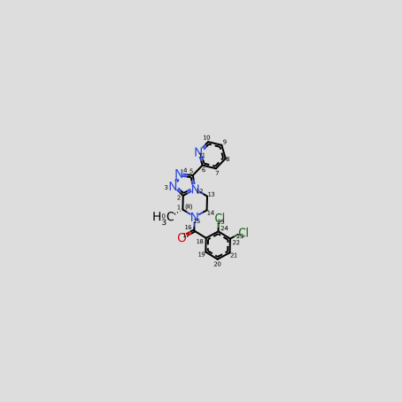 C[C@@H]1c2nnc(-c3ccccn3)n2CCN1C(=O)c1cccc(Cl)c1Cl